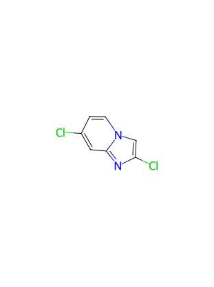 Clc1ccn2cc(Cl)nc2c1